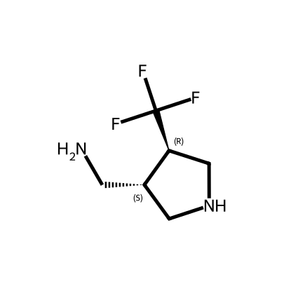 NC[C@H]1CNC[C@@H]1C(F)(F)F